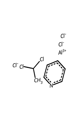 CC(Cl)Cl.[Al+3].[Cl-].[Cl-].[Cl-].c1ccncc1